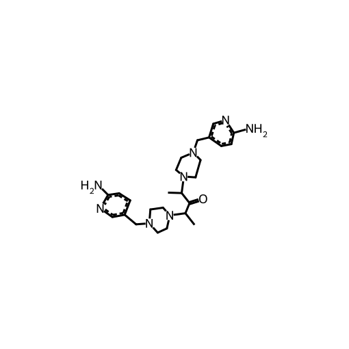 CC(C(=O)C(C)N1CCN(Cc2ccc(N)nc2)CC1)N1CCN(Cc2ccc(N)nc2)CC1